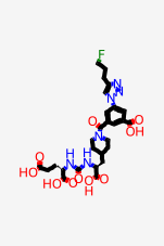 O=C(O)CC[C@H](NC(=O)N[C@@H](CC1CCN(C(=O)c2cc(C(=O)O)cc(-n3cc(CCCF)nn3)c2)CC1)C(=O)O)C(=O)O